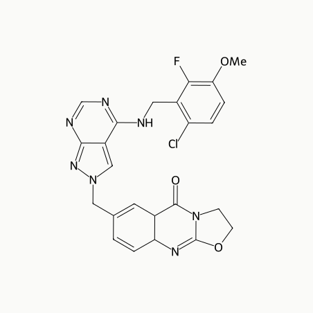 COc1ccc(Cl)c(CNc2ncnc3nn(CC4=CC5C(=O)N6CCOC6=NC5C=C4)cc23)c1F